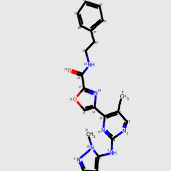 Cc1cnc(Nc2ccnn2C)nc1-c1coc(C(=O)NCCc2ccccc2)n1